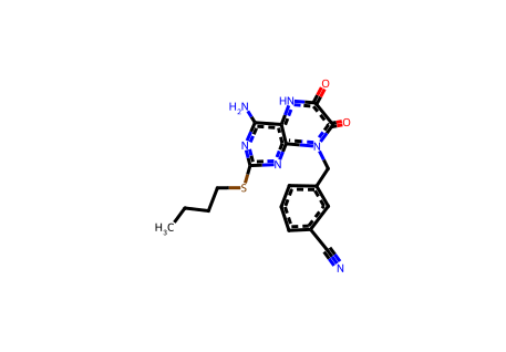 CCCCSc1nc(N)c2[nH]c(=O)c(=O)n(Cc3cccc(C#N)c3)c2n1